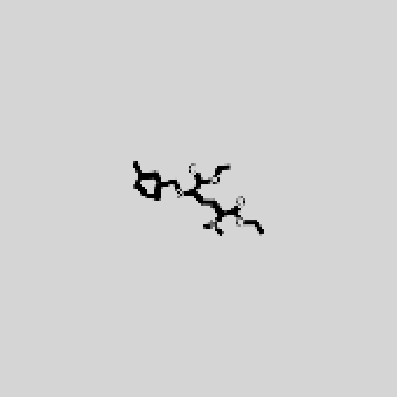 CCOC(=O)C(=CC=C(C(=O)OCC)N(C)C)SCc1cccc(C)c1